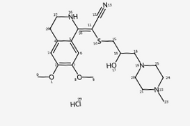 COc1cc2c(cc1OC)C(=C(C#N)SCC(O)CN1CCN(C)CC1)NCC2.Cl